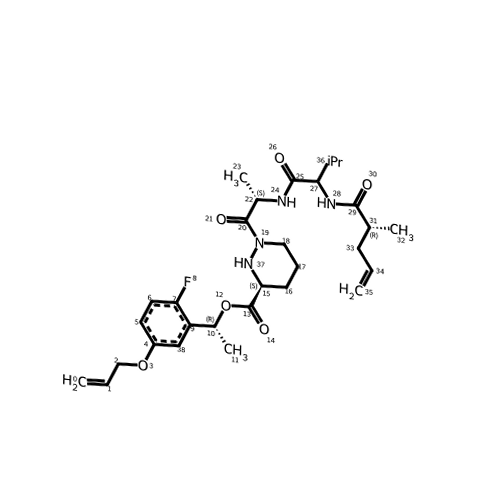 C=CCOc1ccc(F)c([C@@H](C)OC(=O)[C@@H]2CCCN(C(=O)[C@H](C)NC(=O)C(NC(=O)[C@H](C)CC=C)C(C)C)N2)c1